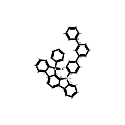 O=P1(c2ccccc2)c2ccccc2-c2ccc3c4ccccc4n(-c4ccc(-c5cccc(-c6ccccc6)c5)cc4)c3c21